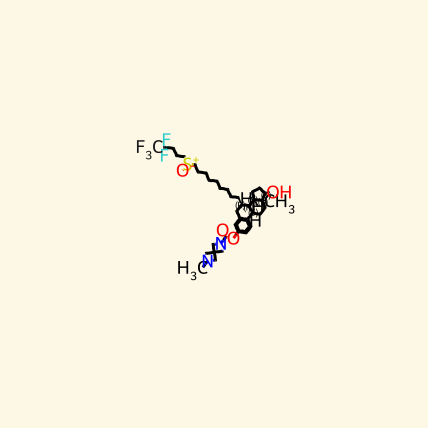 CN1CC2(C1)CN(C(=O)Oc1ccc3c(c1)C[C@@H](CCCCCCCCC[S+]([O-])CCCC(F)(F)C(F)(F)F)[C@@H]1[C@@H]3CC[C@]3(C)[C@@H](O)CC[C@@H]13)C2